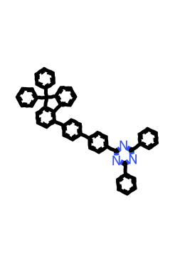 c1ccc(-c2nc(-c3ccccc3)nc(-c3ccc(-c4ccc(-c5cccc6c5-c5ccccc5C6(c5ccccc5)c5ccccc5)cc4)cc3)n2)cc1